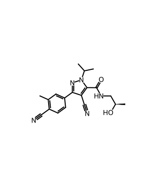 Cc1cc(-c2nn(C(C)C)c(C(=O)NC[C@@H](C)O)c2C#N)ccc1C#N